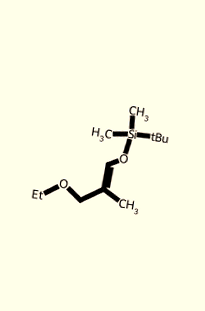 CCOCC(C)=CO[Si](C)(C)C(C)(C)C